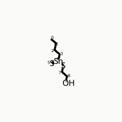 CCC[CH2][Sn](=[S])[S]CCO